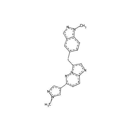 Cn1cc(-c2ccc3ncc(Cc4ccc5c(cnn5C)c4)n3n2)cn1